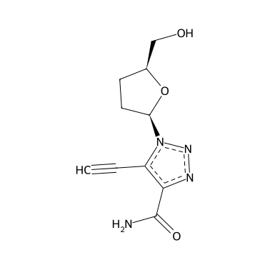 C#Cc1c(C(N)=O)nnn1[C@H]1CC[C@@H](CO)O1